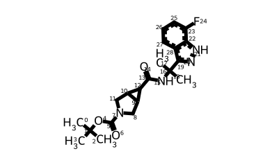 CC(C)(C)OC(=O)N1CC2C(C1)C2C(=O)NC(C)(C)c1n[nH]c2c(F)cccc12